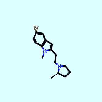 C[C@@H]1CCCN1CCc1cc2cc(Br)ccc2n1C